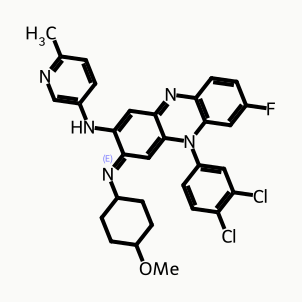 COC1CCC(/N=c2\cc3n(-c4ccc(Cl)c(Cl)c4)c4cc(F)ccc4nc-3cc2Nc2ccc(C)nc2)CC1